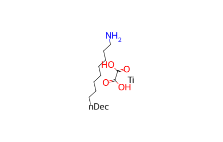 CCCCCCCCCCCCCCCCCCN.O=C(O)C(=O)O.[Ti]